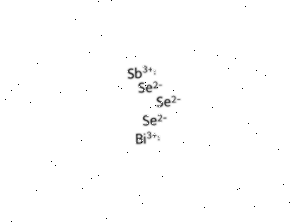 [Bi+3].[Sb+3].[Se-2].[Se-2].[Se-2]